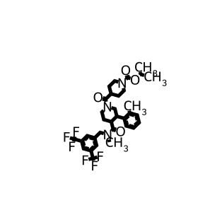 Cc1ccccc1C1CN(C(=O)C2CCN(C(=O)OC(C)C)CC2)CCC1C(=O)N(C)Cc1cc(C(F)(F)F)cc(C(F)(F)F)c1